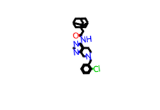 O=C(CC12CC3CC(CC(C3)C1)C2)Nc1ncnc2c1CCN(Cc1ccccc1Cl)C2